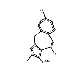 COc1c(C)cn2c1C(Cl)=Nc1ccc(Cl)cc1C2